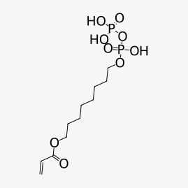 C=CC(=O)OCCCCCCCCOP(=O)(O)OP(=O)(O)O